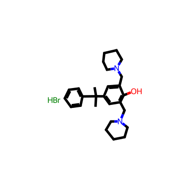 Br.CC(C)(c1ccccc1)c1cc(CN2CCCCC2)c(O)c(CN2CCCCC2)c1